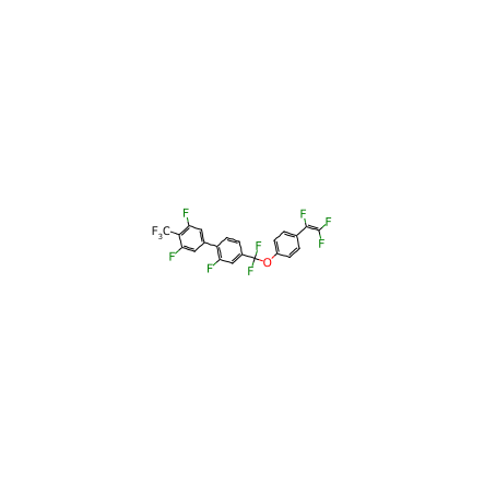 FC(F)=C(F)c1ccc(OC(F)(F)c2ccc(-c3cc(F)c(C(F)(F)F)c(F)c3)c(F)c2)cc1